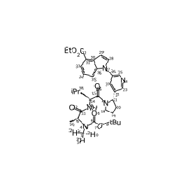 [2H]C([2H])([2H])N(C(=O)OC(C)(C)C)[C@@H](C)C(=O)N[C@H](C(=O)N1CCC[C@H]1c1cncc(-n2ccc3c(C(=O)OCC)cccc32)c1)C(C)C